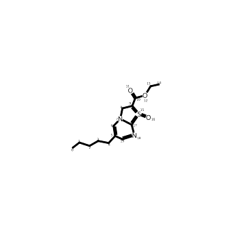 CCCCCC1=CN2CC(C(=O)OCC)=S(=O)=C2N=C1